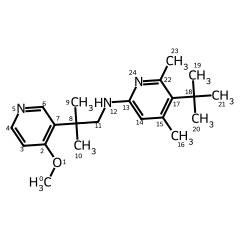 COc1ccncc1C(C)(C)CNc1cc(C)c(C(C)(C)C)c(C)n1